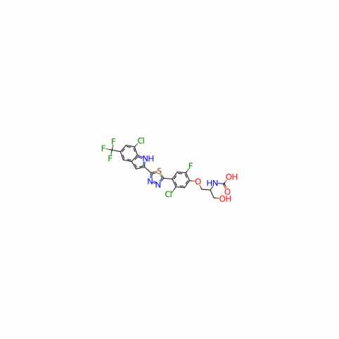 O=C(O)NC(CO)COc1cc(Cl)c(-c2nnc(-c3cc4cc(C(F)(F)F)cc(Cl)c4[nH]3)s2)cc1F